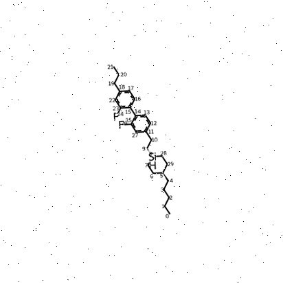 CCCCC[C@H]1CC[Si@H](CCc2ccc(-c3ccc(CCC)cc3F)c(F)c2)CC1